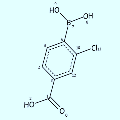 O=C(O)c1ccc(B(O)O)c(Cl)c1